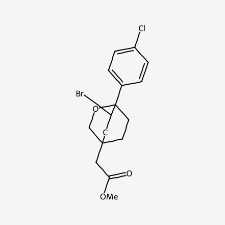 COC(=O)CC12CCC(c3ccc(Cl)cc3)(OC1)C(Br)C2